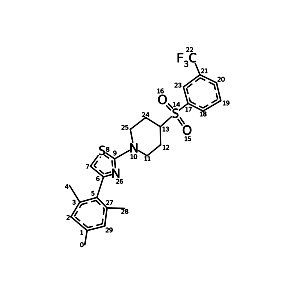 Cc1cc(C)c(-c2csc(N3CCC(S(=O)(=O)c4cccc(C(F)(F)F)c4)CC3)n2)c(C)c1